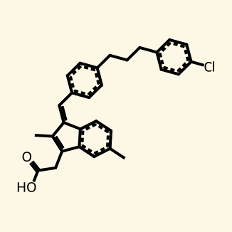 CC1=C(CC(=O)O)c2cc(C)ccc2/C1=C\c1ccc(CCCc2ccc(Cl)cc2)cc1